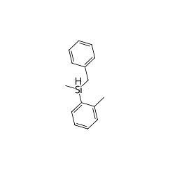 Cc1ccccc1[SiH](C)Cc1ccccc1